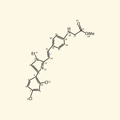 CCn1cc(-c2ccc(Cl)cc2Cl)nc1/C=C/c1ccc(NCC(=O)OC)cc1